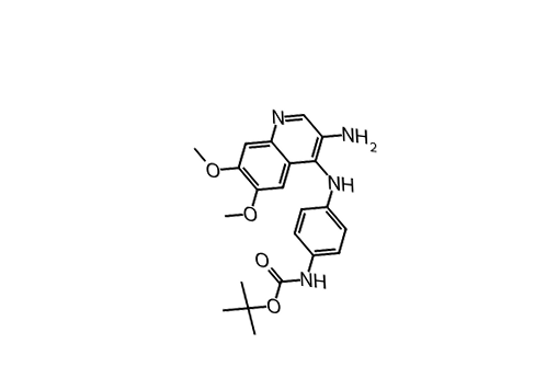 COc1cc2ncc(N)c(Nc3ccc(NC(=O)OC(C)(C)C)cc3)c2cc1OC